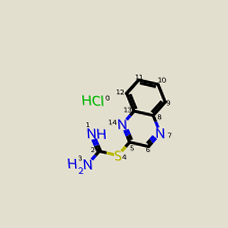 Cl.N=C(N)Sc1cnc2ccccc2n1